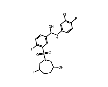 O=S(=O)(c1cc(C(O)Nc2ccc(F)c(Cl)c2)ccc1F)N1CC(O)CCC(F)C1